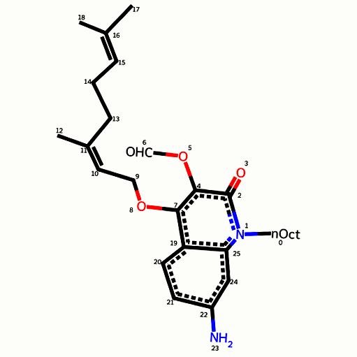 CCCCCCCCn1c(=O)c(OC=O)c(OCC=C(C)CCC=C(C)C)c2ccc(N)cc21